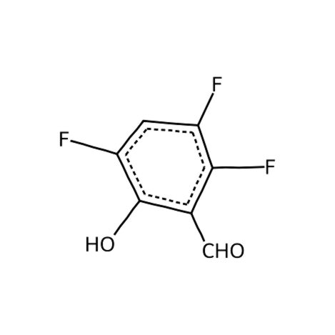 O=Cc1c(O)c(F)cc(F)c1F